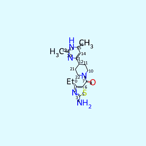 CCc1nc(N)sc1C(=O)N1CCC(C2=CC(C)NC(C)=N2)CC1